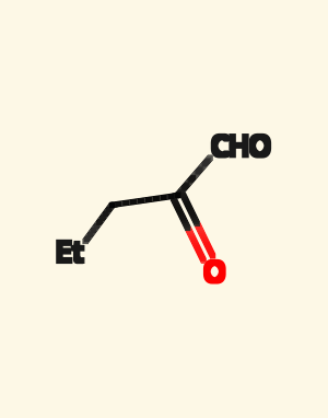 [CH2]CCC(=O)C=O